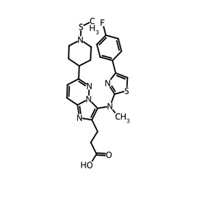 CSN1CCC(c2ccc3nc(CCC(=O)O)c(N(C)c4nc(-c5ccc(F)cc5)cs4)n3n2)CC1